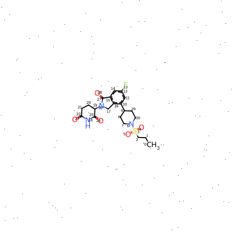 CCCS(=O)(=O)N1CCC(c2cc(F)cc3c2CN(C2CCC(=O)NC2=O)C3=O)CC1